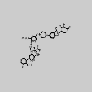 COc1cc(CN2CCN(c3ccc4c(c3)C(=O)N(C3CCC(=O)NC3=O)C4)CC2)cnc1O[C@H]1CN2c3cc(-c4cccc(F)c4O)nnc3NC[C@]2(C(F)F)C1